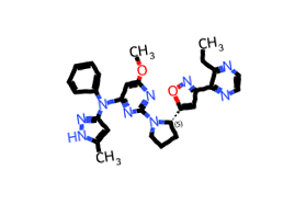 CCc1nccnc1-c1cc([C@@H]2CCCN2c2nc(OC)cc(N(c3ccccc3)c3cc(C)[nH]n3)n2)on1